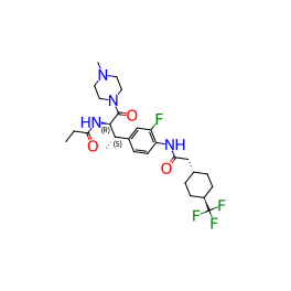 CCC(=O)N[C@@H](C(=O)N1CCN(C)CC1)[C@@H](C)c1ccc(NC(=O)C[C@H]2CC[C@H](C(F)(F)F)CC2)c(F)c1